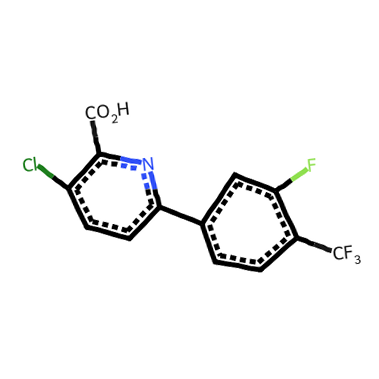 O=C(O)c1nc(-c2ccc(C(F)(F)F)c(F)c2)ccc1Cl